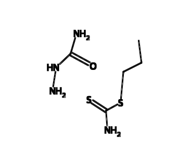 CCCSC(N)=S.NNC(N)=O